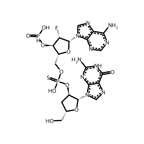 Nc1nc2c(ncn2[C@@H]2O[C@H](CO)C[C@H]2OP(O)(=S)OC[C@H]2O[C@@H](n3cnc4c(N)ncnc43)[C@@H](F)[C@@H]2O[PH](=O)O)c(=O)[nH]1